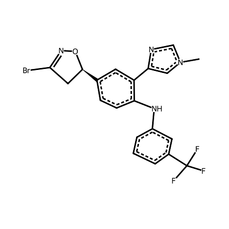 Cn1cnc(-c2cc([C@H]3CC(Br)=NO3)ccc2Nc2cccc(C(F)(F)F)c2)c1